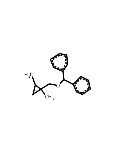 CC1CC1(C)COC(c1ccccc1)c1ccccc1